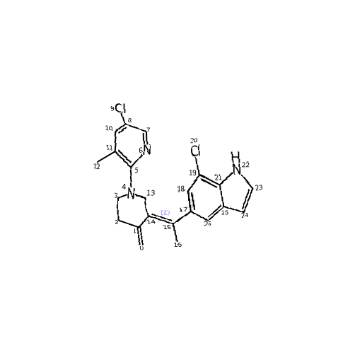 C=C1CCN(c2ncc(Cl)cc2C)C/C1=C(/C)c1cc(Cl)c2[nH]ccc2c1